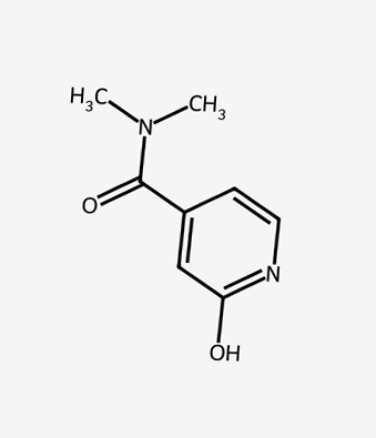 CN(C)C(=O)c1ccnc(O)c1